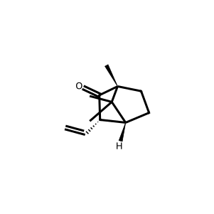 C=C[C@@H]1C(=O)[C@]2(C)CC[C@H]1C2(C)C